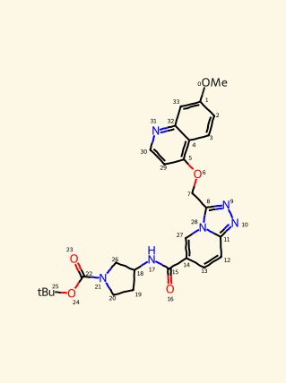 COc1ccc2c(OCc3nnc4ccc(C(=O)NC5CCN(C(=O)OC(C)(C)C)C5)cn34)ccnc2c1